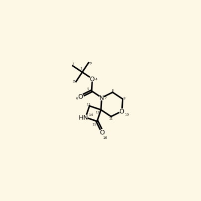 CC(C)(C)OC(=O)N1CCOCC12CNC2=O